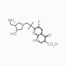 CC(C)(CN1CC(O)C(CN)C1)c1nc2[nH]cc(C(=O)O)c(=O)c2cc1F